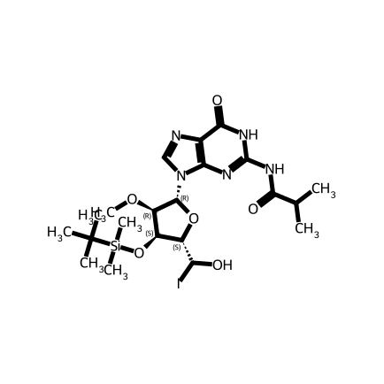 CO[C@@H]1[C@H](O[Si](C)(C)C(C)(C)C)[C@@H](C(O)I)O[C@H]1n1cnc2c(=O)[nH]c(NC(=O)C(C)C)nc21